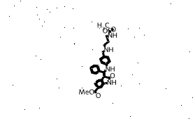 COC(=O)c1ccc2c(c1)NC(=O)/C2=C(\Nc1ccc(CNCCCNS(C)(=O)=O)cc1)c1ccccc1